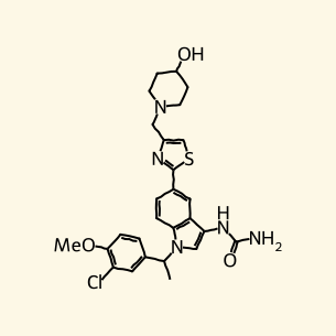 COc1ccc(C(C)n2cc(NC(N)=O)c3cc(-c4nc(CN5CCC(O)CC5)cs4)ccc32)cc1Cl